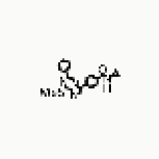 CSc1nc(-c2ccccc2)cn2c(-c3ccc(C(=O)NC4CC4)cc3)cnc12